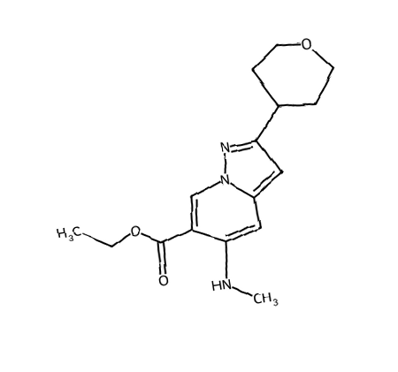 CCOC(=O)c1cn2nc(C3CCOCC3)cc2cc1NC